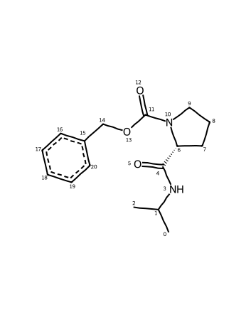 CC(C)NC(=O)[C@H]1CCCN1C(=O)OCc1ccccc1